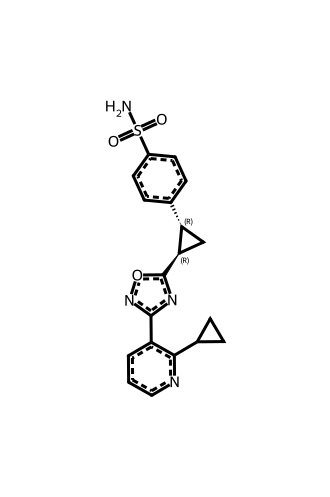 NS(=O)(=O)c1ccc([C@@H]2C[C@H]2c2nc(-c3cccnc3C3CC3)no2)cc1